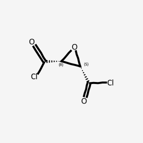 O=C(Cl)[C@H]1O[C@H]1C(=O)Cl